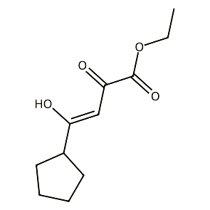 CCOC(=O)C(=O)/C=C(\O)C1CCCC1